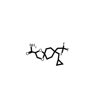 NC(=O)C1COC2(CCC([CH]C(F)(F)F)(CC3CC3)CC2)O1